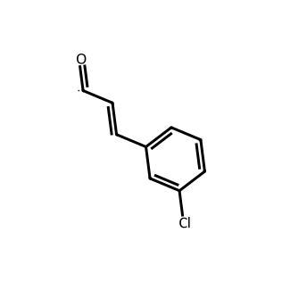 O=[C]/C=C/c1cccc(Cl)c1